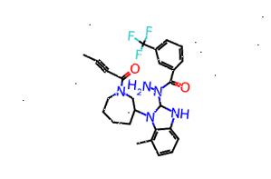 CC#CC(=O)N1CCCCC(N2c3c(C)cccc3NC2N(N)C(=O)c2cccc(C(F)(F)F)c2)C1